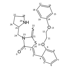 O=C1C(=Cc2ccccc2OCCOc2ccccc2)SC(=S)N1CC1CCCN1